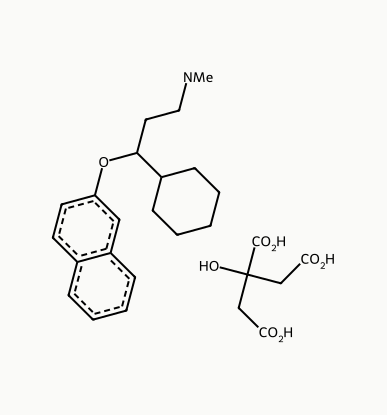 CNCCC(Oc1ccc2ccccc2c1)C1CCCCC1.O=C(O)CC(O)(CC(=O)O)C(=O)O